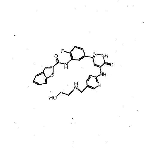 O=C(Nc1cc(-c2cc(Nc3ccc(CNCCO)cn3)c(=O)[nH]n2)ccc1F)c1cc2ccccc2s1